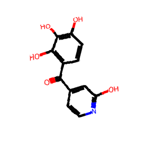 O=C(c1ccnc(O)c1)c1ccc(O)c(O)c1O